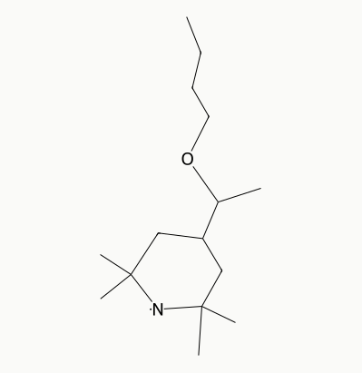 CCCCOC(C)C1CC(C)(C)[N]C(C)(C)C1